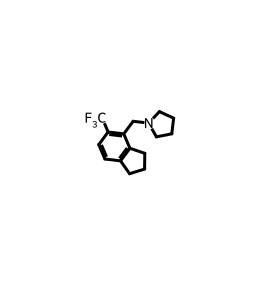 FC(F)(F)c1ccc2c(c1CN1CCCC1)CCC2